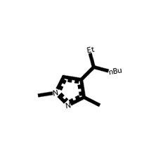 CCCCC(CC)c1cn(C)nc1C